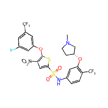 CN1CC[C@@H](Oc2cc(NS(=O)(=O)c3cc([N+](=O)[O-])c(Oc4cc(F)cc(C(F)(F)F)c4)s3)ccc2C(F)(F)F)C1